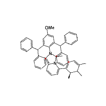 COc1cc(C(c2ccccc2)c2ccccc2)c(N2C=C3C=CC=C(C4=CC=C(C)C(C)[C@H]4C)N3C2C)c(C(c2ccccc2)c2ccccc2)c1